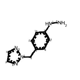 NNc1ccc(Cn2nccn2)cc1